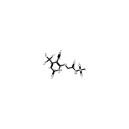 CS(=O)(=O)NC(=O)CSc1[nH]c(=O)cc(C(F)(F)F)c1C#N